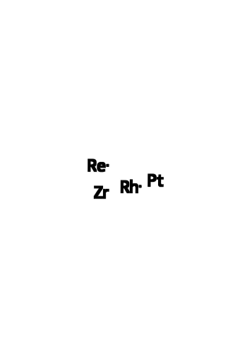 [Pt].[Re].[Rh].[Zr]